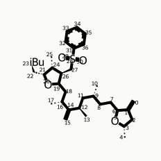 C=C1C[C@H](C)OC1CC[C@@H](C)C[C@@H](C)C(=C)[C@H](C)CC1O[C@H](C[C@H](C)CC)[C@H](C)[C@H]1CS(=O)(=O)c1ccccc1